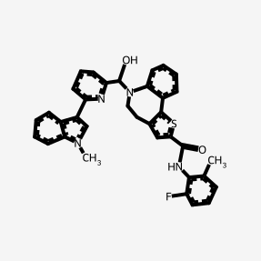 Cc1cccc(F)c1NC(=O)c1cc2c(s1)-c1ccccc1N(C(O)c1cccc(-c3cn(C)c4ccccc34)n1)CC2